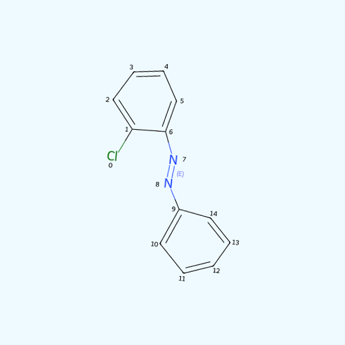 Clc1ccccc1/N=N/c1ccccc1